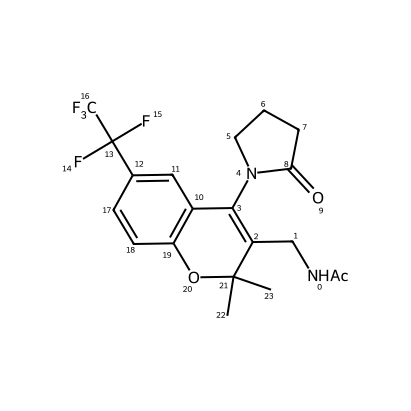 CC(=O)NCC1=C(N2CCCC2=O)c2cc(C(F)(F)C(F)(F)F)ccc2OC1(C)C